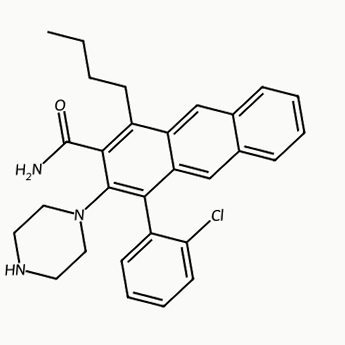 CCCCc1c(C(N)=O)c(N2CCNCC2)c(-c2ccccc2Cl)c2cc3ccccc3cc12